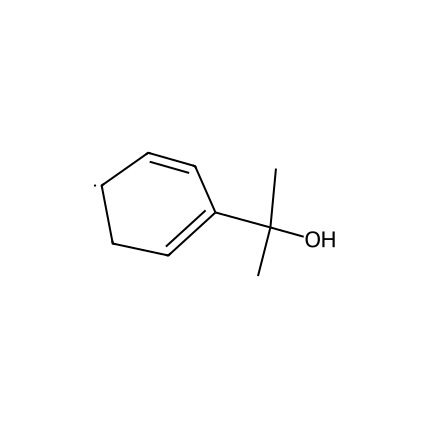 CC(C)(O)C1=CC[CH]C=C1